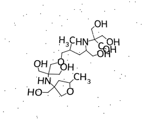 CC(COCC(CO)(CO)NC1(CO)COC(C)C1)CC(CO)NC(CO)(CO)CO